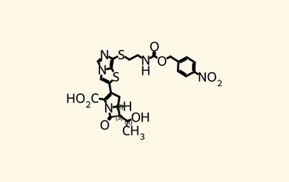 C[C@@H](O)[C@H]1C(=O)N2C(C(=O)O)=C(c3cn4cnc(SCCNC(=O)OCc5ccc([N+](=O)[O-])cc5)c4s3)C[C@H]12